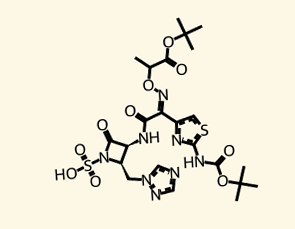 CC(O/N=C(\C(=O)N[C@@H]1C(=O)N(S(=O)(=O)O)[C@@H]1Cn1cncn1)c1csc(NC(=O)OC(C)(C)C)n1)C(=O)OC(C)(C)C